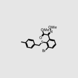 CO/N=C(\C(=O)OC)c1cccc(Br)c1SCc1ccc(C)cc1